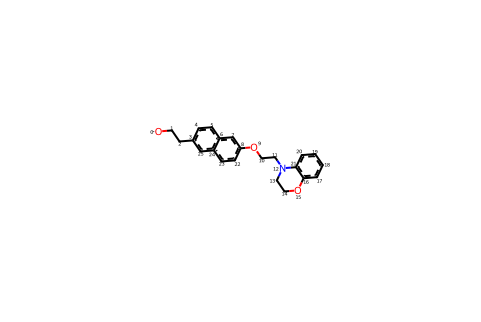 [O]CCc1ccc2cc(OCCN3CCOc4ccccc43)ccc2c1